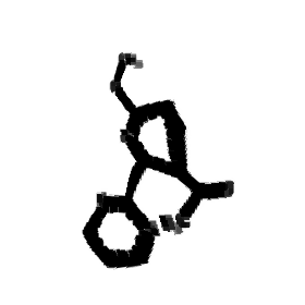 COc1ccc(C(C)=O)c(-c2ncccn2)n1